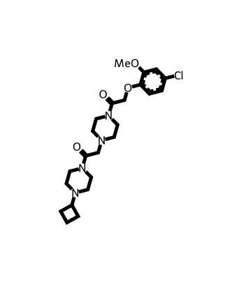 COc1cc(Cl)ccc1OCC(=O)N1CCN(CC(=O)N2CCN(C3CCC3)CC2)CC1